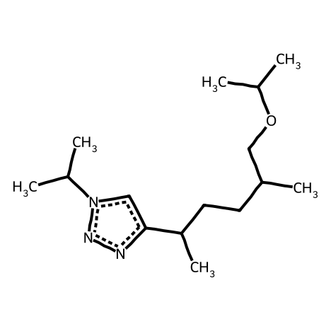 CC(CCC(C)c1cn(C(C)C)nn1)COC(C)C